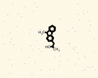 C=C(O)Cc1ccc2c(c1)-c1ccccc1C2C